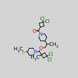 CSC1CCN(C(OCC(C)C2CCN(C(=O)C3CC(Cl)(Cl)C3)CC2)C2(C)CC(Cl)(Cl)C2)CC1